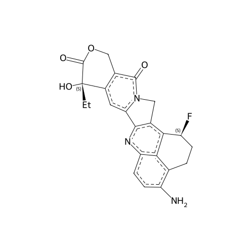 CC[C@@]1(O)C(=O)OCc2c1cc1n(c2=O)Cc2c-1nc1ccc(N)c3c1c2[C@@H](F)CC3